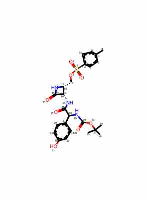 Cc1ccc(S(=O)(=O)OC[C@H]2NC(=O)[C@H]2NC(=O)C(NC(=O)OC(C)(C)C)c2ccc(O)cc2)cc1